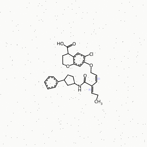 CC/C=C(\C=C/COc1cc2c(cc1Cl)C(C(=O)O)CCO2)C(=O)NC1CCC(c2ccccc2)C1